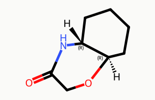 O=C1CO[C@@H]2CCCC[C@H]2N1